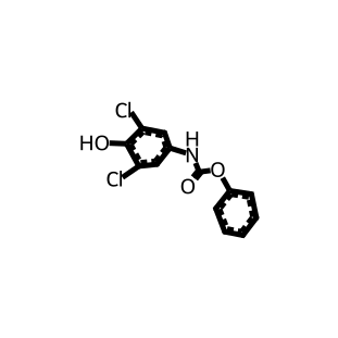 O=C(Nc1cc(Cl)c(O)c(Cl)c1)Oc1ccccc1